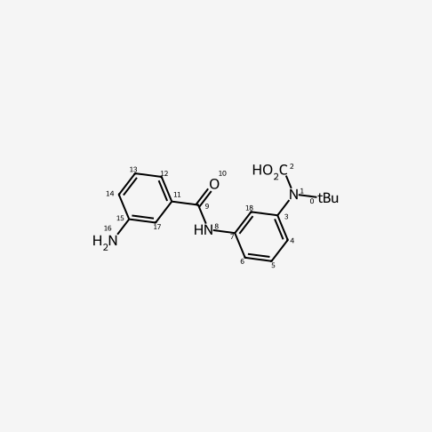 CC(C)(C)N(C(=O)O)c1cccc(NC(=O)c2cccc(N)c2)c1